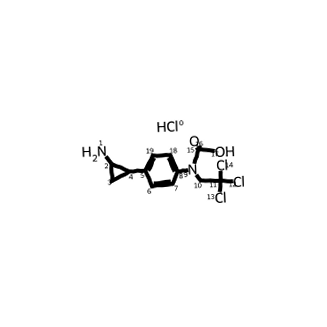 Cl.NC1CC1c1ccc(N(CC(Cl)(Cl)Cl)C(=O)O)cc1